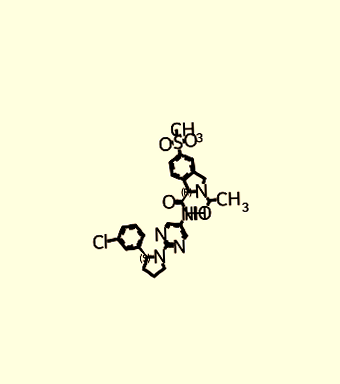 CC(O)N1Cc2cc(S(C)(=O)=O)ccc2[C@@H]1C(=O)Nc1cnc(N2CCC[C@H]2c2cccc(Cl)c2)nc1